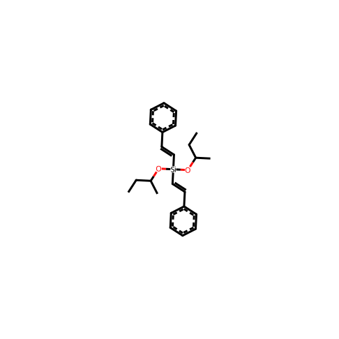 CCC(C)O[Si](C=Cc1ccccc1)(C=Cc1ccccc1)OC(C)CC